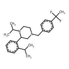 CC(C)c1ccccc1C1CN(Cc2ccc(C(C)(F)F)cc2)CCN1C(C)C